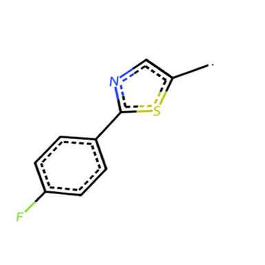 [CH2]c1cnc(-c2ccc(F)cc2)s1